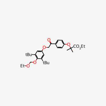 CCOCOc1c(C(C)(C)C)cc(OCC(=O)c2ccc(OC(C)(C)C(=O)OCC)cc2)cc1C(C)(C)C